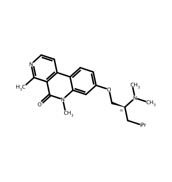 Cc1nccc2c1c(=O)n(C)c1cc(OC[C@H](CC(C)C)N(C)C)ccc21